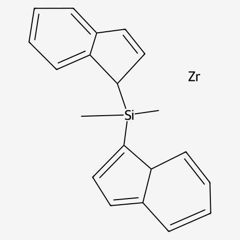 C[Si](C)(C1=CC=C2C=CC=CC21)C1C=Cc2ccccc21.[Zr]